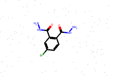 NNC(=O)c1ccc(Br)cc1C(=O)NN